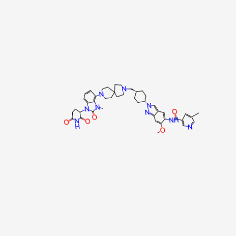 COc1cc2nn([C@H]3CC[C@H](CN4CCC5(CC4)CCN(c4cccc6c4n(C)c(=O)n6C4CCC(=O)NC4=O)CC5)CC3)cc2cc1NC(=O)c1cncc(C)c1